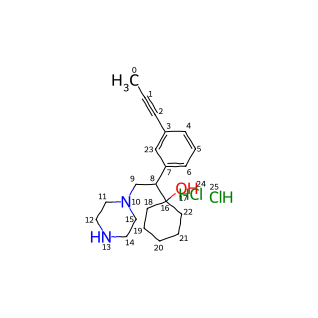 CC#Cc1cccc(C(CN2CCNCC2)C2(O)CCCCC2)c1.Cl.Cl